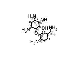 C[C@@H](N)C1CC[C@@H](N)[C@@H](O[C@H]2[C@H](O)[C@@H](O)[C@H](N)C[C@@H]2N)O1